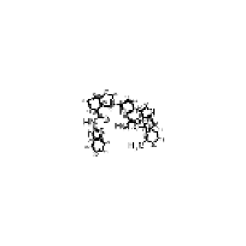 CC1=C2C(C)(C)C2(Cn2cc(-c3ccc(N4CCc5cccc(C(=O)Nc6nc7ccccc7s6)c5C4)nc3C(=O)O)cn2)C=CC1